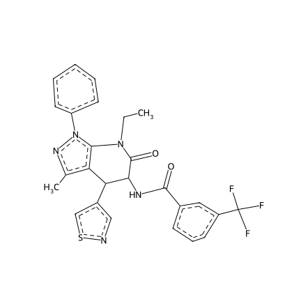 CCN1C(=O)C(NC(=O)c2cccc(C(F)(F)F)c2)C(c2cnsc2)c2c(C)nn(-c3ccccc3)c21